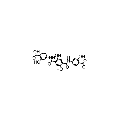 O=C(O)c1ccc(NC(=O)c2cc(O)c(C(=O)Nc3ccc(C(=O)O)c(O)c3)cc2O)cc1O